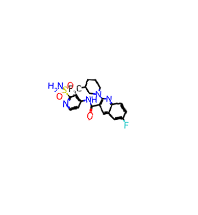 NS(=O)(=O)c1cc(NC(=O)c2cc3cc(F)ccc3nc2N2CCCC(C(F)(F)F)C2)ccn1